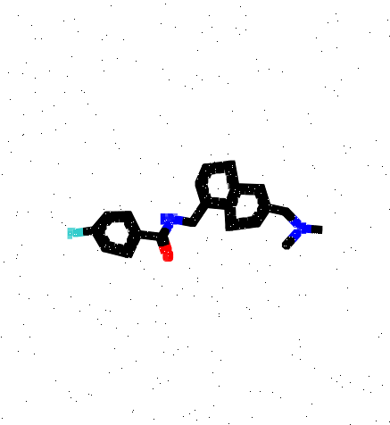 CN(C)Cc1ccc2c(CNC(=O)c3ccc(F)cc3)cccc2c1